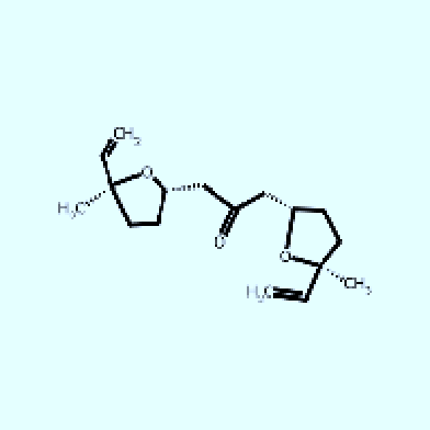 C=C[C@]1(C)CC[C@@H](CC(=O)C[C@@H]2CC[C@@](C)(C=C)O2)O1